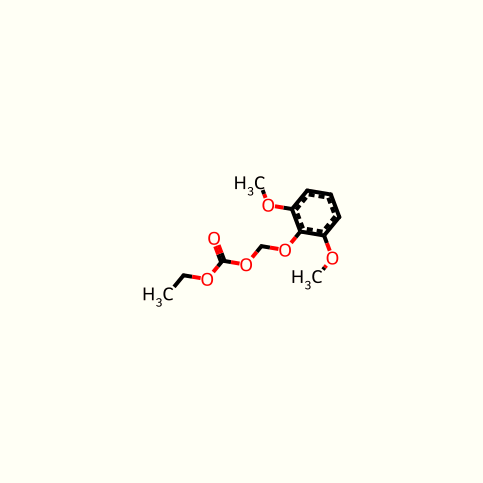 CCOC(=O)OCOc1c(OC)cccc1OC